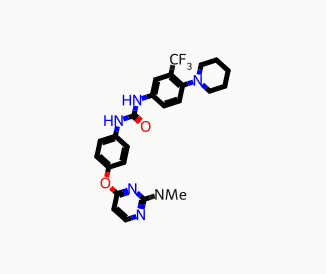 CNc1nccc(Oc2ccc(NC(=O)Nc3ccc(N4CCCCC4)c(C(F)(F)F)c3)cc2)n1